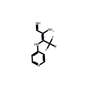 N=C/C(N)=C(\Nc1ccncc1)C(F)(F)F